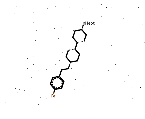 CCCCCCC[C@H]1CC[C@H]([C@H]2CC[C@H](CCc3ccc(Br)cc3)CC2)CC1